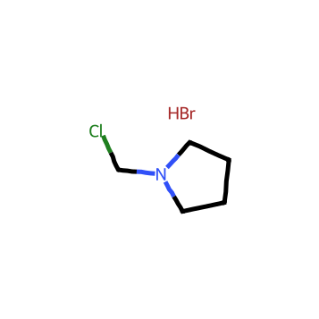 Br.ClCN1CCCC1